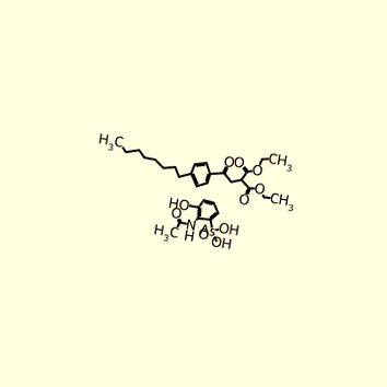 CC(=O)Nc1c(O)cccc1[As](=O)(O)O.CCCCCCCCc1ccc(C(=O)CC(C(=O)OCC)C(=O)OCC)cc1